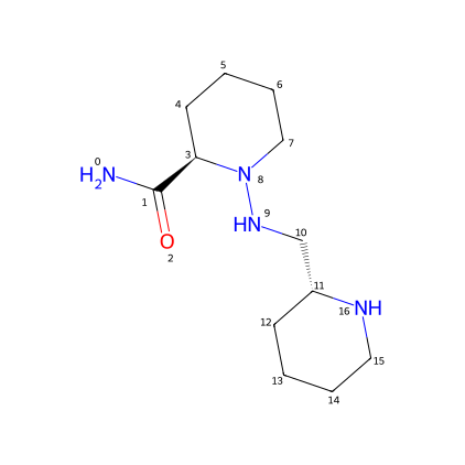 NC(=O)[C@H]1CCCCN1NC[C@H]1CCCCN1